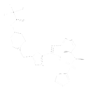 CN(c1cccc2cc(-c3ncc(CN4CCC(OC(=O)C(F)(F)F)CC4)s3)[nH]c12)S(=O)(=O)c1cccs1